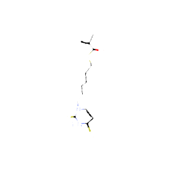 C=C(C)C(=O)SCCCCCCn1ccc(=S)[nH]c1=S